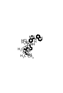 CN[C@@H](C)C(=O)N[C@H](C(=O)N1CCCC1C(=O)Nc1cc2c(Nc3cccc4ncccc34)ncnc2cc1OC)C(C)(C)C.Cl